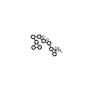 CC1(C)c2ccccc2-c2ccc(-c3ccc4oc5c(ccc6c7cc(-c8ccccc8-c8ccc9c%10ccccc%10c%10ccccc%10c9c8)ccc7oc65)c4c3)cc21